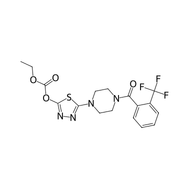 CCOC(=O)Oc1nnc(N2CCN(C(=O)c3ccccc3C(F)(F)F)CC2)s1